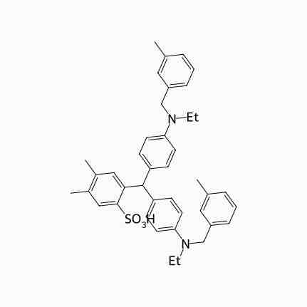 CCN(Cc1cccc(C)c1)c1ccc(C(c2ccc(N(CC)Cc3cccc(C)c3)cc2)c2cc(C)c(C)cc2S(=O)(=O)O)cc1